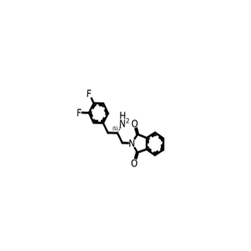 N[C@@H](Cc1ccc(F)c(F)c1)CN1C(=O)c2ccccc2C1=O